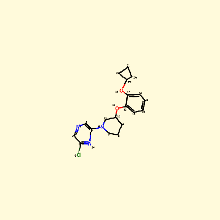 Clc1cncc(N2CCCC(Oc3ccccc3OC3CCC3)C2)n1